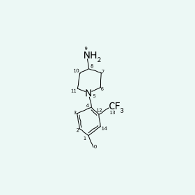 Cc1ccc(N2CCC(N)CC2)c(C(F)(F)F)c1